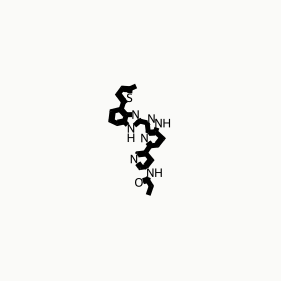 CCC(=O)Nc1cncc(-c2ccc3[nH]nc(-c4nc5c(-c6ccc(C)s6)cccc5[nH]4)c3n2)c1